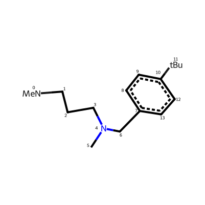 CNCCCN(C)Cc1ccc(C(C)(C)C)cc1